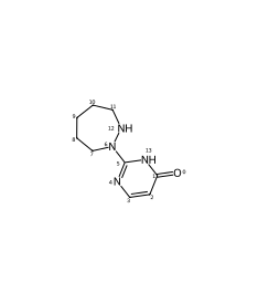 O=c1ccnc(N2CCCCCN2)[nH]1